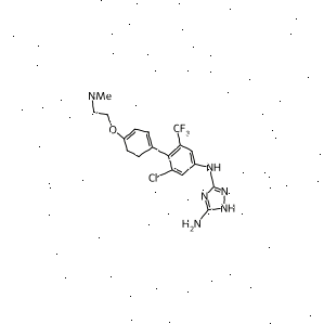 CNCCOC1=CC=C(c2c(Cl)cc(Nc3n[nH]c(N)n3)cc2C(F)(F)F)CC1